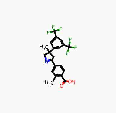 Cc1cc(C2=NCC(C)(c3cc(C(F)(F)F)cc(C(F)(F)F)c3)C2)ccc1C(=O)O